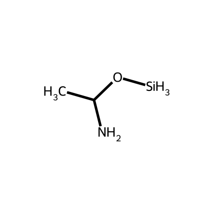 CC(N)O[SiH3]